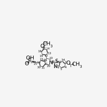 CCOc1ccc2nc(N(CCc3ccc(OC)cc3)Cc3ccc(C#CC(=O)O)cc3)sc2c1